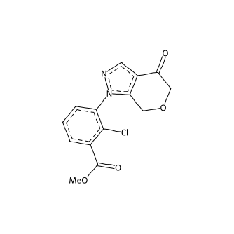 COC(=O)c1cccc(-n2ncc3c2COCC3=O)c1Cl